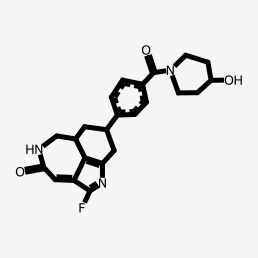 O=C1C=C2C(F)=NC3=C2C(CN1)CC(c1ccc(C(=O)N2CCC(O)CC2)cc1)C3